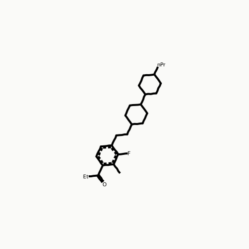 CCCC1CCC(C2CCC(CCc3ccc(C(=O)CC)c(C)c3F)CC2)CC1